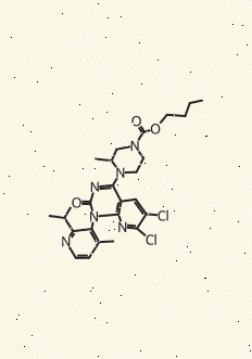 CCCCOC(=O)N1CCN(c2nc(=O)n(-c3c(C)ccnc3C(C)C)c3nc(Cl)c(Cl)cc23)C(C)C1